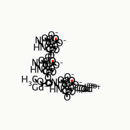 CCO[CH]([Gd+3])c1ccccc1.NCCNC(CC(=O)[O-])C(CC(=O)[O-])(CC(=O)[O-])N(CC(=O)[O-])CC(=O)[O-].NCCNC(CC(=O)[O-])C(CC(=O)[O-])(CC(=O)[O-])N(CC(=O)[O-])CC(=O)[O-].NCCNC(CC(=O)[O-])C(CC(=O)[O-])(CC(=O)[O-])N(CC(=O)[O-])CC(=O)[O-].[Gd+3].[Gd+3].[Gd+3].[Gd+3]